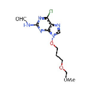 COCOCCCOn1cnc2c(Cl)nc(NC=O)nc21